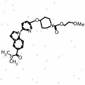 COCCOC(=O)N1CCC(Oc2ccc(-n3ccc4cc(C(=O)N(C)C)ccc43)nc2)CC1